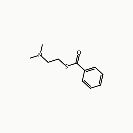 CN(C)CCSC(=O)c1ccccc1